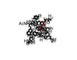 CC(=O)N[C@H](CCc1ccc2ccccc2c1)C(=O)N[C@H](Cc1ccc(Cl)cc1)C(=O)NC(Cc1cccnc1)C(=O)N[C@@H](CO)C(=O)N[C@@H](Cc1ccc(NC(=O)CC2NC(=O)NC2=O)cc1)C(=O)N[C@H](C/C(C)=C/C=C(\C)NC(N)=O)C(=O)N[C@@H](CC(C)C)C(=O)N[C@@H](CCCCNC(C)C)C(=O)N1CCC[C@H]1C(=O)N[C@H](C)C(N)=O